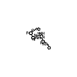 Fc1cc(OCCN2CCCC2)cc(-c2ccnc3[nH]c(-c4n[nH]c5cnc(-c6cncc(CNCC7CCCC7)c6)cc45)nc23)c1